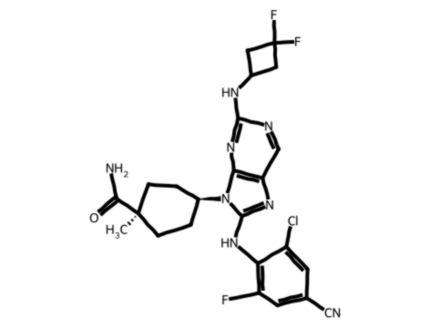 C[C@]1(C(N)=O)CC[C@@H](n2c(Nc3c(F)cc(C#N)cc3Cl)nc3cnc(NC4CC(F)(F)C4)nc32)CC1